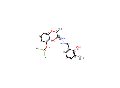 CCC(Oc1cccc(OC(F)F)c1)C(=O)NN=Cc1cccc(C)c1O